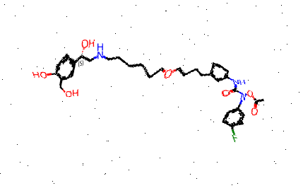 CC(=O)ON(C(=O)Nc1cccc(CCCCOCCCCCCNC[C@@H](O)c2ccc(O)c(CO)c2)c1)c1ccc(F)cc1